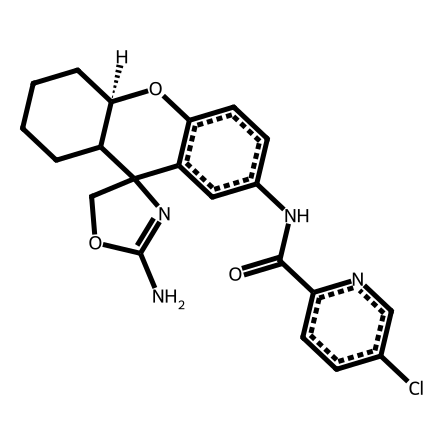 NC1=NC2(CO1)c1cc(NC(=O)c3ccc(Cl)cn3)ccc1O[C@@H]1CCCCC12